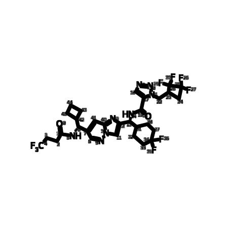 O=C(CCC(F)(F)F)N[C@@H](c1cnn2cc([C@@H](NC(=O)c3cnnn3CC3CC(F)(F)C3(F)F)C3CCC(F)(F)CC3)nc2c1)C1CCC1